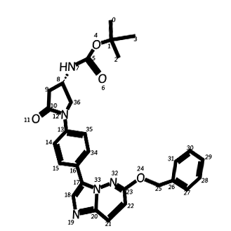 CC(C)(C)OC(=O)N[C@H]1CC(=O)N(c2ccc(-c3cnc4ccc(OCc5ccccc5)nn34)cc2)C1